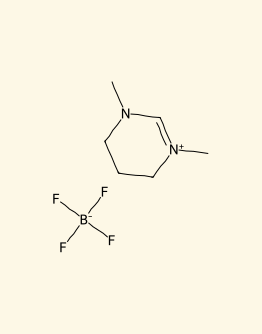 CN1C=[N+](C)CCC1.F[B-](F)(F)F